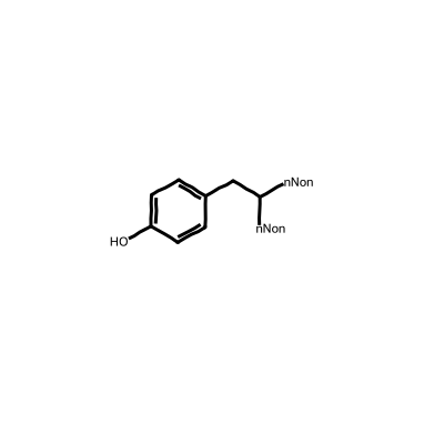 CCCCCCCCCC(CCCCCCCCC)Cc1ccc(O)cc1